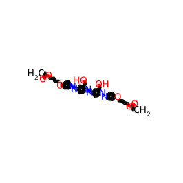 C=CC(=O)OCCCCOc1ccc(N=Nc2ccc(N=Nc3ccc(N=Nc4ccc(OCCCCOC(=O)C=C)cc4)c(CO)c3)c(CO)c2)cc1